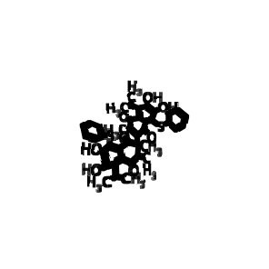 CC1=C(C2(C)C(=O)c3c(Sc4ccccc4)c(O)c(O)c(C(C)C)c3C(=O)C2C)C(=O)c2c(Sc3ccccc3)c(O)c(O)c(C(C)C)c2C1=O